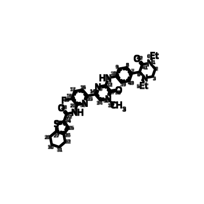 CCN1CCN(CC)C(c2ccc(Nc3nc(-c4ccc(F)c(NC(=O)c5cc6c(s5)CCCC6)n4)cn(C)c3=O)cc2)C1=O